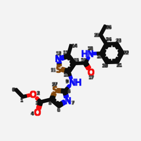 CCOC(=O)c1cnc(Nc2snc(C)c2C(=O)Nc2ccccc2CC)s1